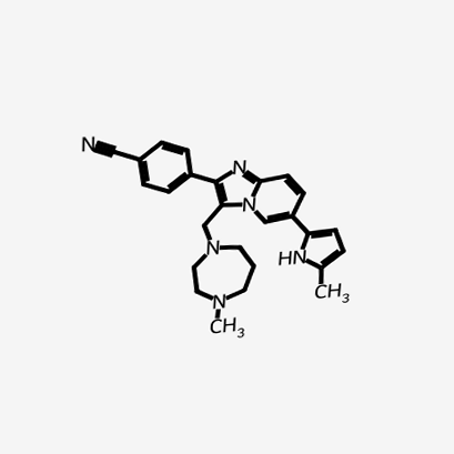 Cc1ccc(-c2ccc3nc(-c4ccc(C#N)cc4)c(CN4CCCN(C)CC4)n3c2)[nH]1